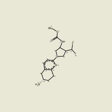 CC(C)(C)OC(=O)NC1CN(c2ccc3c(n2)CC[C@H](N)C3)CC1C(F)F